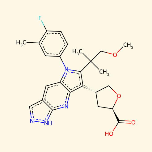 COCC(C)(C)c1c([C@@H]2CO[C@@H](C(=O)O)C2)c2nc3[nH]ncc3cc2n1-c1ccc(F)c(C)c1